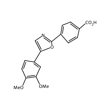 COc1ccc(-c2cnc(-c3ccc(C(=O)O)cc3)o2)cc1OC